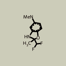 CNc1ccc2c(c1)NC(C)(C(F)F)O2